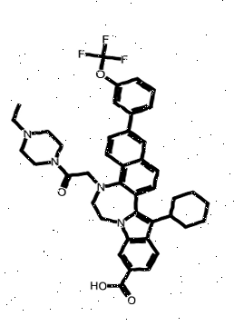 CCN1CCN(C(=O)CN2CCn3c(c(C4CCCCC4)c4ccc(C(=O)O)cc43)-c3ccc4cc(-c5cccc(OC(F)(F)F)c5)ccc4c32)CC1